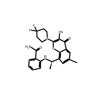 Cc1cc([C@@H](C)Nc2ccccc2C(N)=O)c2oc(N3CCC(F)(F)CC3)c(C#N)c(=O)c2c1